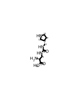 N[C@@H](CNC(=O)NC[C@H]1CCNC1)C(=O)O